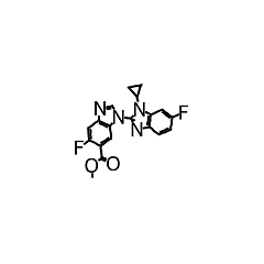 COC(=O)c1cc2c(cc1F)ncn2-c1nc2ccc(F)cc2n1C1CC1